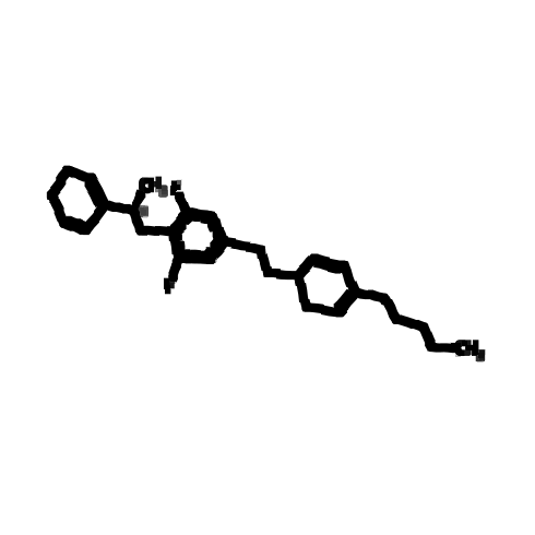 CCCCCC1=CCC(CCc2cc(F)c(C[C@H](C)C3=CCCC=C3)c(F)c2)C=C1